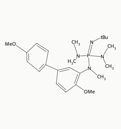 COc1ccc(-c2ccc(OC)c(N(C)P(=NC(C)(C)C)(N(C)C)N(C)C)c2)cc1